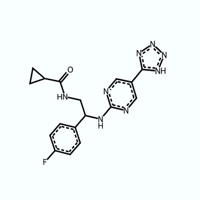 O=C(NCC(Nc1ncc(-c2nnn[nH]2)cn1)c1ccc(F)cc1)C1CC1